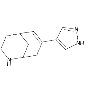 C1=C(c2cn[nH]c2)CC2CC1CCN2